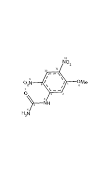 COc1cc(NC(N)=O)c([N+](=O)[O-])cc1[N+](=O)[O-]